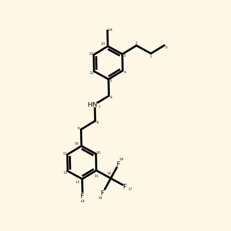 CCCc1cc(CNCCc2ccc(F)c(C(F)(F)F)c2)ccc1C